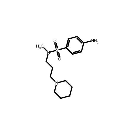 CN(CCCN1CCCCC1)S(=O)(=O)c1ccc(N)cc1